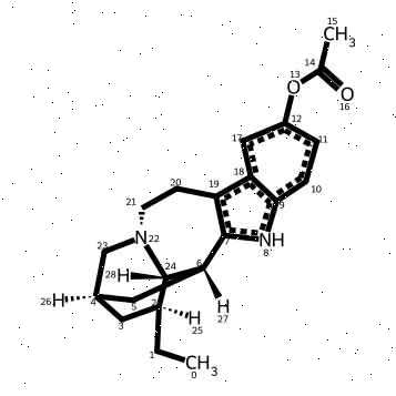 CC[C@H]1C[C@@H]2C[C@H]3c4[nH]c5ccc(OC(C)=O)cc5c4CC[N@@](C2)[C@@H]13